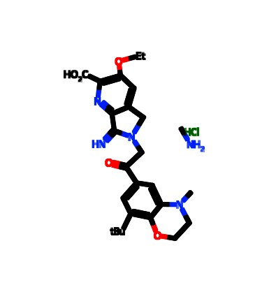 CCOc1cc2c(nc1C(=O)O)C(=N)N(CC(=O)c1cc3c(c(C(C)(C)C)c1)OCCN3C)C2.CN.Cl